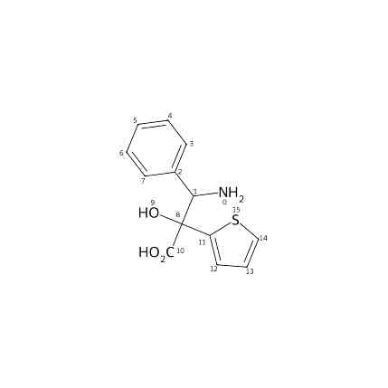 NC(c1ccccc1)C(O)(C(=O)O)c1cccs1